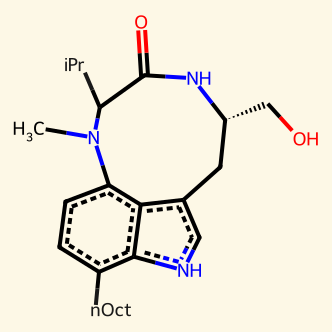 CCCCCCCCc1ccc2c3c(c[nH]c13)C[C@@H](CO)NC(=O)C(C(C)C)N2C